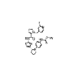 CC(C)OC(=O)Nc1ccc(N2CCC[C@@H]2c2csc(NC(=O)c3cccn3Cc3ccnc(F)c3)n2)cc1